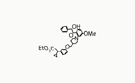 CCOC(=O)CC(c1cccc(OCC2CCN(c3cc(OC)ccc3C(=O)C(O)c3ccccc3)CC2)c1)C1CC1